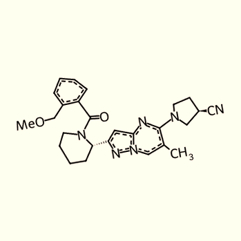 COCc1ccccc1C(=O)N1CCCC[C@H]1c1cc2nc(N3CC[C@@H](C#N)C3)c(C)cn2n1